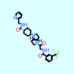 O=C(NCC(=O)N1CC[C@H]2[C@@H]1CCN2[C@H]1CC[C@@H](C(=O)NCc2ccccn2)CC1)c1cccc(C(F)(F)F)c1